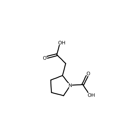 O=C(O)CC1CCCN1C(=O)O